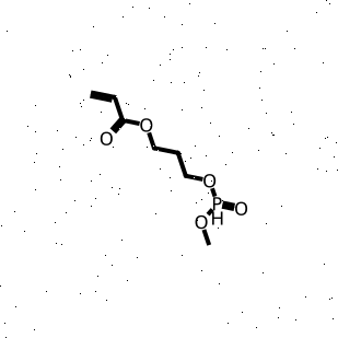 C=CC(=O)OCCCO[PH](=O)OC